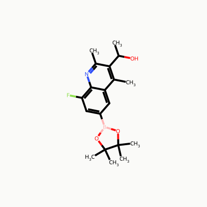 Cc1nc2c(F)cc(B3OC(C)(C)C(C)(C)O3)cc2c(C)c1C(C)O